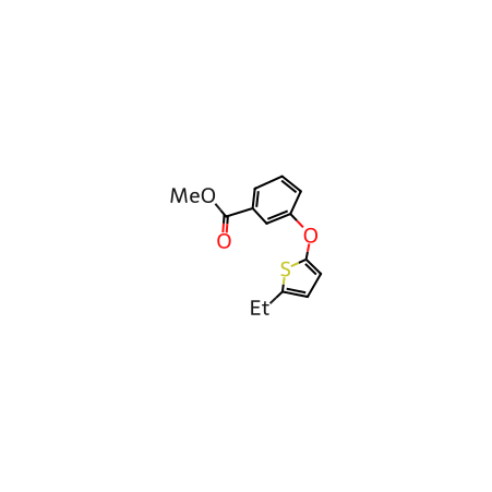 CCc1ccc(Oc2cccc(C(=O)OC)c2)s1